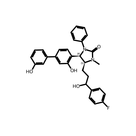 CN1C(=O)N(c2ccccc2)[C@H](c2ccc(-c3cccc(O)c3)cc2O)[C@@H]1CCC(O)c1ccc(F)cc1